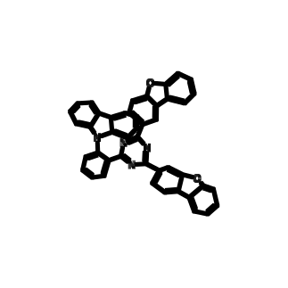 c1ccc(-n2c3ccccc3c3ccccc32)c(-c2nc(-c3ccc4c(c3)oc3ccccc34)nc(-c3ccc4oc5ccccc5c4c3)n2)c1